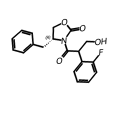 O=C1OC[C@@H](Cc2ccccc2)N1C(=O)C(CO)c1ccccc1F